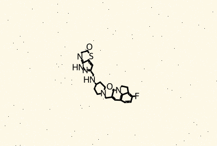 O=C1CN=C2NN=C(CNC3CCN(Cc4cc5ccc(F)c6c5n(c4=O)CC6)CC3)C=C2S1